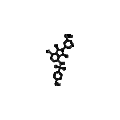 COc1cncc(N2C(=O)c3c(Cl)ccc(NS(=O)(=O)c4ccc(C(C)(C)C)cc4)c3C2=O)c1